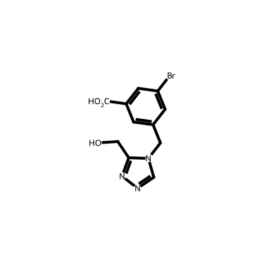 O=C(O)c1cc(Br)cc(Cn2cnnc2CO)c1